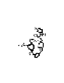 N#Cc1ccc(Oc2cccc(CN3CCC4(CC3)CN(C(=O)Nc3cccnc3)C4)c2)cc1C(F)(F)F